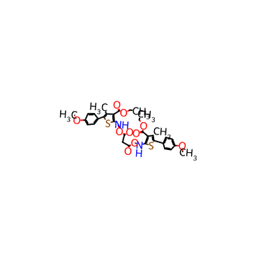 CCOC(=O)c1c(NOC(=O)CC(=O)ONc2sc(-c3ccc(OC)cc3)c(C)c2C(=O)OCC)sc(-c2ccc(OC)cc2)c1C